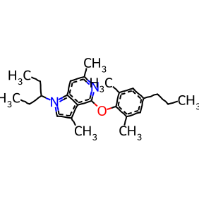 CCCc1cc(C)c(Oc2nc(C)cc3c2c(C)cn3C(CC)CC)c(C)c1